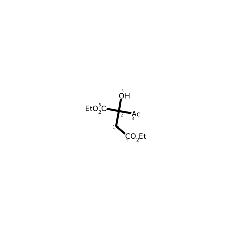 CCOC(=O)CC(O)(C(C)=O)C(=O)OCC